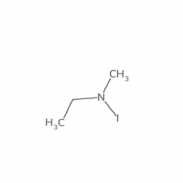 CCN(C)I